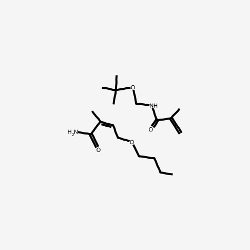 C=C(C)C(=O)NCOC(C)(C)C.CCCCOCC=C(C)C(N)=O